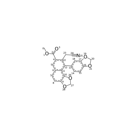 COC(=O)c1cc2ccc3c(c2c(-c2ccc4c(c2)OCO4)c1CC#N)OCO3